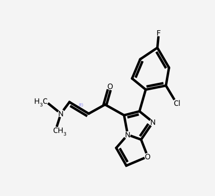 CN(C)/C=C/C(=O)c1c(-c2ccc(F)cc2Cl)nc2occn12